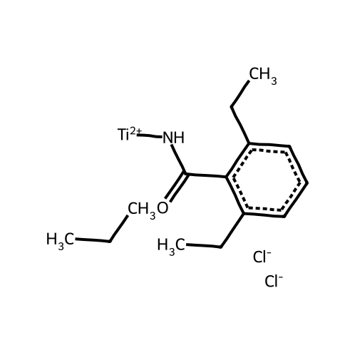 CCC.CCc1cccc(CC)c1C(=O)[NH][Ti+2].[Cl-].[Cl-]